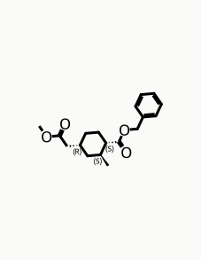 COC(=O)C[C@@H]1CC[C@H](C(=O)OCc2ccccc2)[C@@H](C)C1